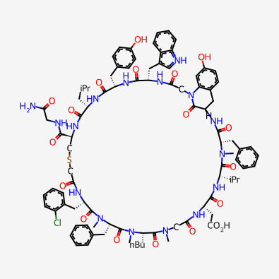 CCCC[C@H]1C(=O)N(C)CC(=O)N[C@@H](CC(=O)O)C(=O)N[C@@H](C(C)C)C(=O)N(C)[C@@H](Cc2ccccc2)C(=O)N[C@H]2Cc3ccc(O)cc3N(CC(=O)N[C@@H](Cc3c[nH]c4ccccc34)C(=O)N[C@@H](Cc3ccc(O)cc3)C(=O)N[C@@H](CC(C)C)C(=O)N[C@H](C(=O)NCC(N)=O)CSCC(=O)N[C@@H](Cc3ccccc3Cl)C(=O)N(C)[C@@H](Cc3ccccc3)C(=O)N1C)C2=O